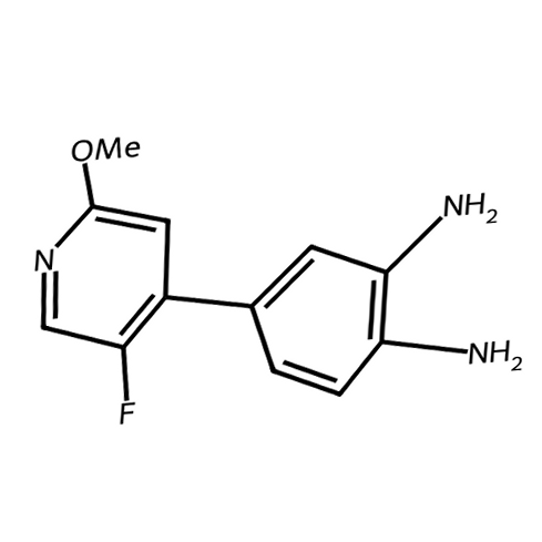 COc1cc(-c2ccc(N)c(N)c2)c(F)cn1